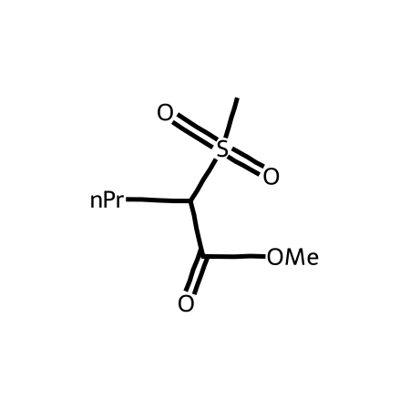 CCCC(C(=O)OC)S(C)(=O)=O